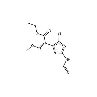 CCOC(=O)/C(=N\OC)c1nc(NC=O)sc1Cl